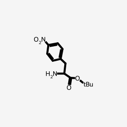 CC(C)(C)OC(=O)C(N)Cc1ccc([N+](=O)[O-])cc1